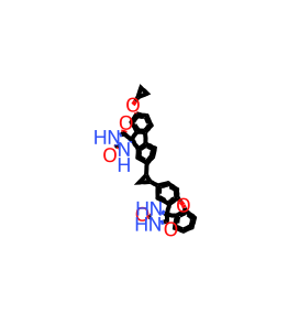 O=C1NC(=O)C2(N1)c1ccccc1Oc1ccc(C3CC3c3ccc4c(c3)C3(NC(=O)NC3=O)c3cc(OC5CC5)ccc3-4)cc12